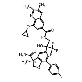 Cc1cc2cc(C(=O)NCC(O)(c3cc4c(c(-c5ccc(F)cc5)n3)OC[C@]4(C)C(N)=O)C(F)(F)F)cc(OC3CC3)c2nc1C